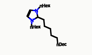 CCCCCCCCCCCCCCCC1N(CCCCCC)C=CN1CCCCCC